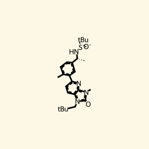 Cc1ccc([C@@H](C)N[S@@+]([O-])C(C)(C)C)cc1-c1ccc2c(n1)n(C)c(=O)n2CC(C)(C)C